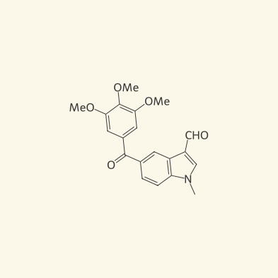 COc1cc(C(=O)c2ccc3c(c2)c(C=O)cn3C)cc(OC)c1OC